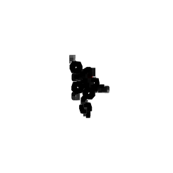 COc1ccc(CN2CCN(C)CC2)cc1C1(N2CCC[C@H]2c2ncco2)C(=O)N(S(=O)(=O)c2ccc(F)cc2)c2ccc(Cl)cc21